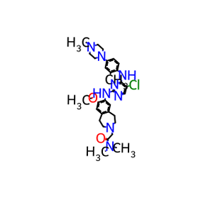 COc1cc2c(cc1Nc1ncc(Cl)c(Nc3ccc(N4CCN(C)CC4)cc3C)n1)CCN(CC(=O)N(C)C)CC2